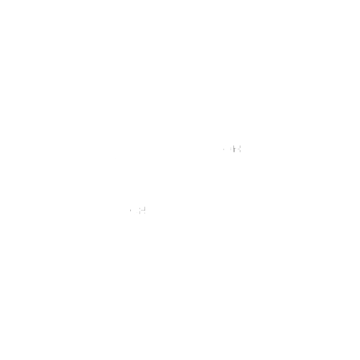 Cc1ccc(C2CCC(C)C=C2O)c(O)c1